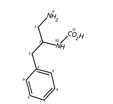 NCC(Cc1ccccc1)NC(=O)O